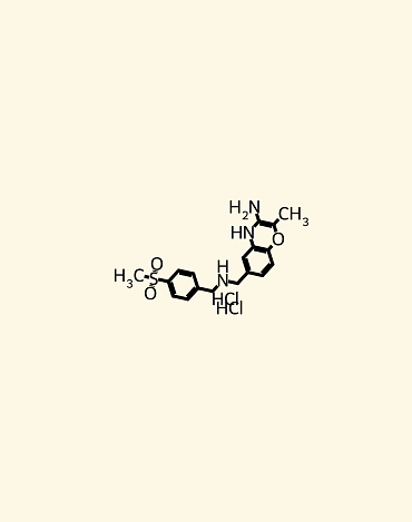 CC1=C(N)Nc2cc(CNCc3ccc(S(C)(=O)=O)cc3)ccc2O1.Cl.Cl